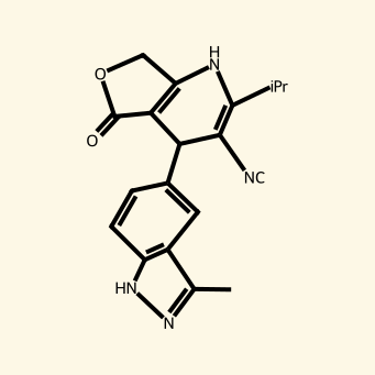 [C-]#[N+]C1=C(C(C)C)NC2=C(C(=O)OC2)C1c1ccc2[nH]nc(C)c2c1